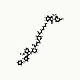 Nc1ncnc2c1c(-c1ccc(Oc3ccccc3)cc1)nn2C1CCCN(C(=O)/C=C/CN2CCN(C(=O)CCCCCCSc3cccc4c3C(=O)N(C3CCC(=O)NC3=O)C4=O)CC2)C1